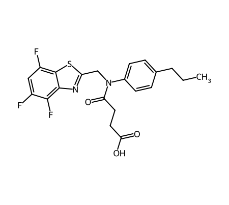 CCCc1ccc(N(Cc2nc3c(F)c(F)cc(F)c3s2)C(=O)CCC(=O)O)cc1